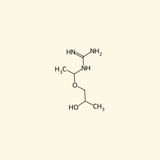 CC(O)COC(C)NC(=N)N